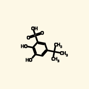 CC(C)(C)c1cc(O)c(O)c(S(=O)(=O)O)c1